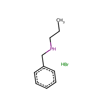 Br.CCCPCc1ccccc1